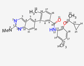 CNc1ncc2cc(-c3cc(C(=O)Nc4cc(C(F)(F)F)ccc4OC(C)C4CC4)ccc3C)ccc2n1